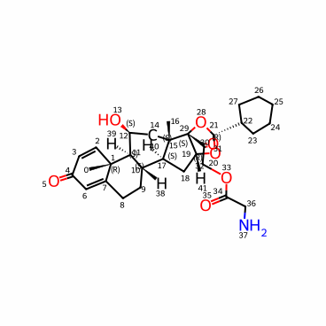 C[C@]12C=CC(=O)C=C1CC[C@@H]1[C@@H]2[C@@H](O)C[C@@]2(C)[C@H]1C[C@H]1O[C@@H](C3CCCCC3)O[C@]12C(=O)COC(=O)CN